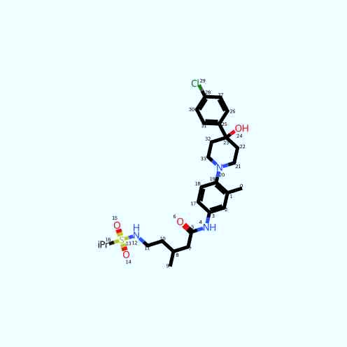 Cc1cc(NC(=O)CC(C)CCNS(=O)(=O)C(C)C)ccc1N1CCC(O)(c2ccc(Cl)cc2)CC1